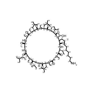 CC[C@@H]1NC(=O)[C@H]([C@H](O)[C@H](C)CCCCCCCN)N(C)C(=O)[C@H](C(C)C)N(C)C(=O)[C@H](CC(C)C)N(C)C(=O)[C@H](CC(C)C)N(C)C(=O)[C@H](C)NC(=O)[C@@H](C)NC(=O)[C@@H](CCC(C)C)N(C)C(=O)[C@@H](C(C)C)NC(=O)[C@H](CC(C)C)N(C)C(=O)CN(C)C1=O